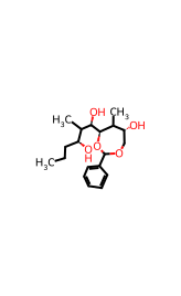 CCC[C@H](O)C(C)[C@@H](O)[C@@H]1OC(c2ccccc2)OC[C@@H](O)C1C